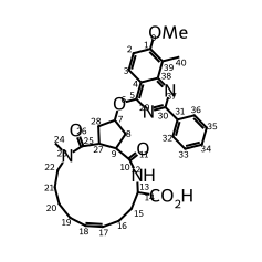 COc1ccc2c(OC3CC4C(=O)NC(C(=O)O)CCC=CCCCCN(C)C(=O)C4C3)nc(-c3ccccc3)nc2c1C